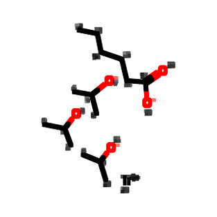 CC(C)[O-].CC(C)[O-].CC(C)[O-].CCCCCC(=O)[O-].[Ti+4]